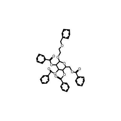 O=C(OCC1OC(OCCOCc2ccccc2)C(OC(=O)c2ccccc2)C(OC(=O)c2ccccc2)C1OC(=O)c1ccccc1)c1ccccc1